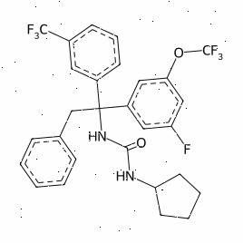 O=C(NC1CCCC1)NC(Cc1ccccc1)(c1cc(F)cc(OC(F)(F)F)c1)c1cccc(C(F)(F)F)c1